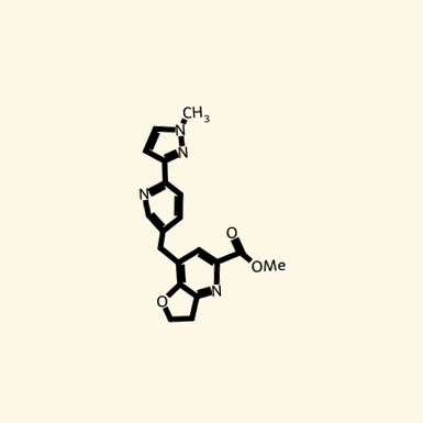 COC(=O)c1cc(Cc2ccc(-c3ccn(C)n3)nc2)c2c(n1)CCO2